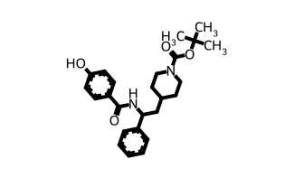 CC(C)(C)OC(=O)N1CCC(CC(NC(=O)c2ccc(O)cc2)c2ccccc2)CC1